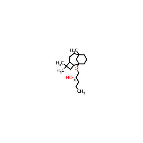 CCC[C@H](O)COC12CCCC(C)(CCC3C1CC3(C)C)C2